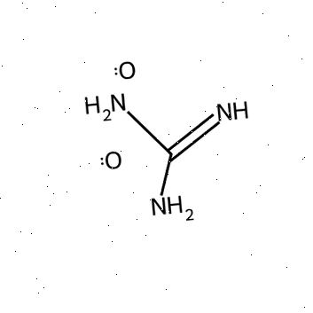 N=C(N)N.[O].[O]